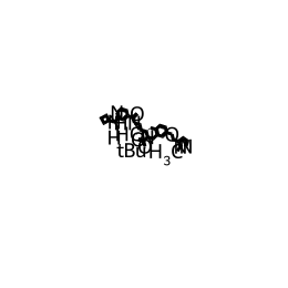 Cn1nccc1COc1ccc2c(c1)CN(C(=O)OC(C)(C)C)[C@H]([C@H](O)CNC(=O)c1ccnc(NC3CCC3)c1)C2